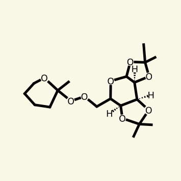 CC1(C)OC2OC(COOC3(C)CCCCO3)[C@@H]3OC(C)(C)O[C@@H]3[C@@H]2O1